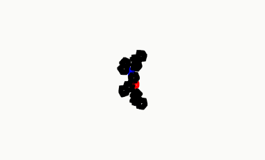 CC1(C)C2=CCCC=C2C2=CCC(C3C4=C(C=C5CCC=CC53)C3C=C(N(C5=CC=CC6C=CC=CC56)c5ccc6c(c5)C(C)(C)c5ccccc5-6)C=CC3O4)C=C21